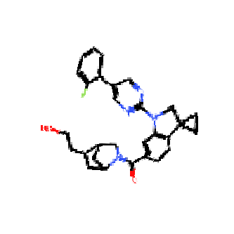 O=C(c1ccc2c(c1)N(c1ncc(-c3ccccc3F)cn1)CC21CC1)N1CC2CC1CC2CCO